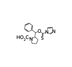 O=C(O)N1CCCC1C(OC(=S)n1ccnc1)c1ccccc1